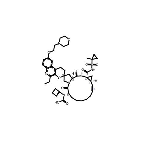 CCc1nc2ccc(OCCN3CCOCC3)cc2c2c1O[C@]1(CC2)C[C@H]2C(=O)N[C@]3(C(=O)NS(=O)(=O)C4(C)CC4)C[C@H]3/C=C\CCCCC[C@H](N(C(=O)O)C3(C)CCC3)C(=O)N2C1